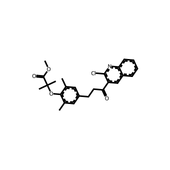 COC(=O)C(C)(C)Oc1c(C)cc(CCC(=O)c2cc3ccccc3nc2Cl)cc1C